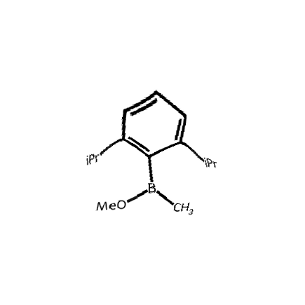 COB(C)c1c(C(C)C)cccc1C(C)C